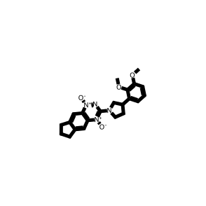 COc1cccc(C2CCN(c3n[n+]([O-])c4cc5c(cc4[n+]3[O-])CCC5)C2)c1OC